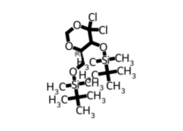 CC(C)(C)[Si](C)(C)OC[C@H]1OCOC(Cl)(Cl)C1O[Si](C)(C)C(C)(C)C